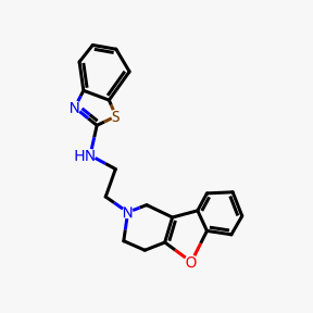 c1ccc2sc(NCCN3CCc4oc5ccccc5c4C3)nc2c1